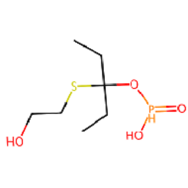 CCC(CC)(O[PH](=O)O)SCCO